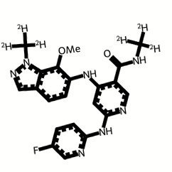 [2H]C([2H])([2H])NC(=O)c1cnc(Nc2ccc(F)cn2)cc1Nc1ccc2cnn(C([2H])([2H])[2H])c2c1OC